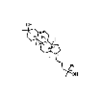 CC(C)[C@](C)(O)CCC[C@H]1CC[C@H]2[C@@H]3CC=C4C[C@@](C)(O)CC[C@]4(C)[C@H]3CC[C@]12C